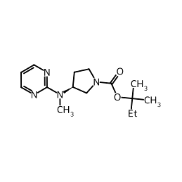 CCC(C)(C)OC(=O)N1CC[C@H](N(C)c2ncccn2)C1